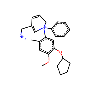 COc1cc(C)c([N+]2(c3ccccc3)C=C(CN)C=CC2)cc1OC1CCCC1